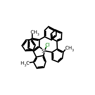 Cc1cccc([Si](Cl)(c2cccc(C)c2-c2ccccc2)c2cccc(C)c2-c2ccccc2)c1-c1ccccc1